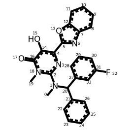 CN(c1nc(-c2nc3ccccc3o2)c(O)c(=O)n1C)C(c1ccccc1)c1cccc(F)c1